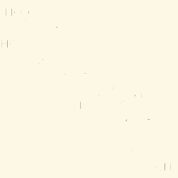 Cc1ccc(S(=O)(=O)CC(O)COc2ccc(C(=O)O)c(O)c2)cc1